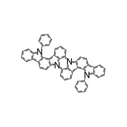 c1ccc(-n2c3ccccc3c3ccc4c(c5cccc6c5n4c4cccc5c7c8c(ccc7n6c54)c4ccccc4n8-c4ccccc4)c32)cc1